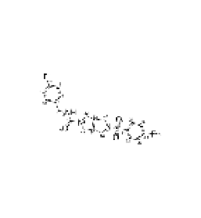 O=C(NCc1ccc(F)cc1)N1CC2=C(C1)CN(S(=O)(=O)c1ccc(F)cc1)C2